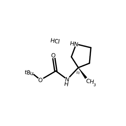 CC(C)(C)OC(=O)N[C@@]1(C)CCNC1.Cl